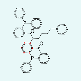 O=C(c1ccccc1C(CCCCc1ccccc1)C(=O)c1ccccc1P(c1ccccc1)c1ccccc1)c1ccccc1P(c1ccccc1)c1ccccc1